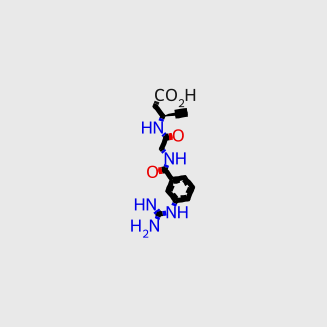 C#C[C@H](CC(=O)O)NC(=O)CNC(=O)c1cccc(NC(=N)N)c1